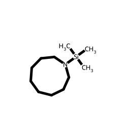 C[Si](C)(C)N1CCCCCCCC1